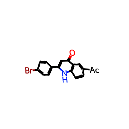 CC(=O)c1ccc2[nH]c(-c3ccc(Br)cc3)cc(=O)c2c1